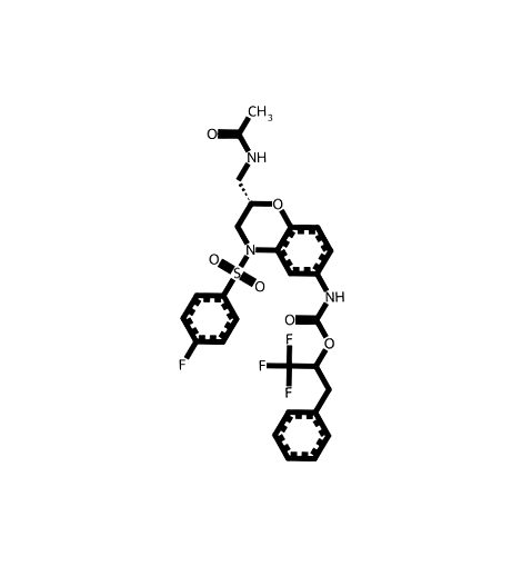 CC(=O)NC[C@H]1CN(S(=O)(=O)c2ccc(F)cc2)c2cc(NC(=O)OC(Cc3ccccc3)C(F)(F)F)ccc2O1